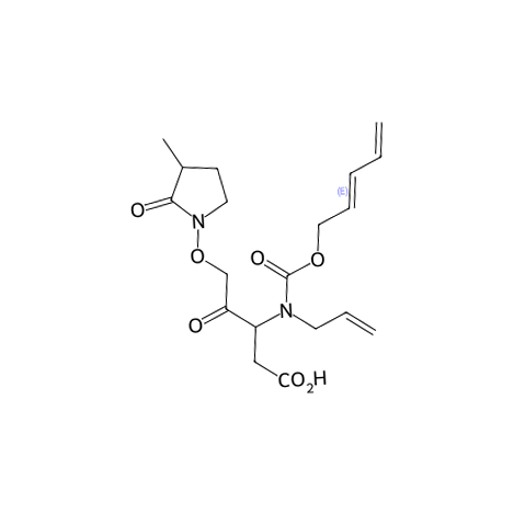 C=C/C=C/COC(=O)N(CC=C)C(CC(=O)O)C(=O)CON1CCC(C)C1=O